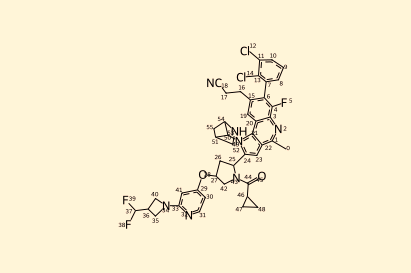 Cc1nc2c(F)c(-c3cccc(Cl)c3Cl)c(CCC#N)cc2c2c1cc(C1CC(Oc3ccnc(N4CC(C(F)F)C4)c3)CN1C(=O)C1CC1)n2C1C2CNC1C2